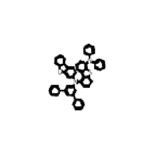 c1ccc(-c2cc(-c3ccccc3)cc(N(c3ccc4c(c3)oc3ccccc34)c3cccc4sc5c(N(c6ccccc6)c6ccccc6)cccc5c34)c2)cc1